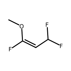 CO/C(F)=C\C(F)F